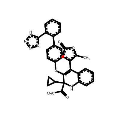 COC(=O)C1(C2CC2)Nc2ccccc2C(c2oc(=O)oc2C)=C1Oc1ccc(-c2ccccc2-c2nnn[nH]2)cc1